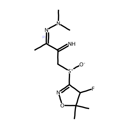 C/C(=N/N(C)C)C(=N)C[S+]([O-])C1=NOC(C)(C)C1F